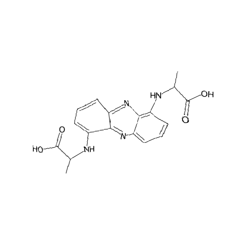 CC(Nc1cccc2nc3c(NC(C)C(=O)O)cccc3nc12)C(=O)O